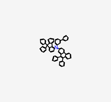 c1ccc(-c2cccc(N(c3ccc4c(c3)c(-c3ccccc3)c(-c3ccccc3)c3ccccc34)c3cccc4c3-c3ccccc3C4(c3ccccc3)c3ccccc3)c2)cc1